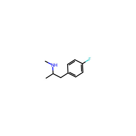 CNC(C)Cc1ccc(F)cc1